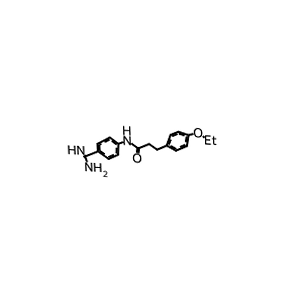 CCOc1ccc(CCC(=O)Nc2ccc(C(=N)N)cc2)cc1